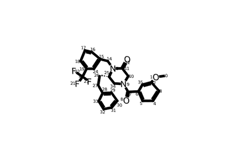 COc1cccc(C(=O)N2CC(=O)N(Cc3cccc(C(F)(F)F)c3)[C@@H](CCc3ccccc3)C2)c1